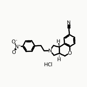 Cl.N#Cc1ccc2c(c1)[C@H]1CN(CCc3ccc([N+](=O)[O-])cc3)C[C@@H]1CO2